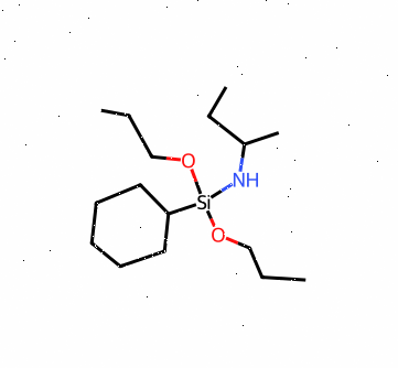 CCCO[Si](NC(C)CC)(OCCC)C1CCCCC1